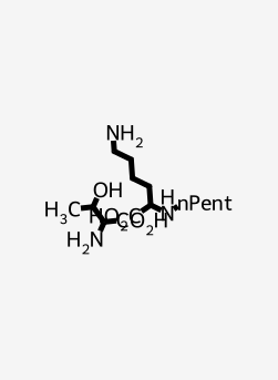 CC(O)C(N)C(=O)O.CCCCCNC(CCCCN)C(=O)O